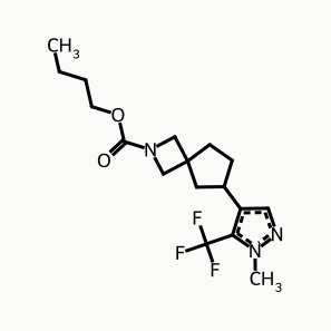 CCCCOC(=O)N1CC2(CCC(c3cnn(C)c3C(F)(F)F)C2)C1